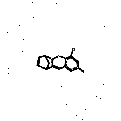 Clc1cc(I)cc2c1CN1C(=N2)C2C=CC1C2